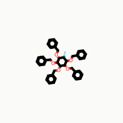 FC1C(OCc2ccccc2)C(OCc2ccccc2)C(OCc2ccccc2)C(OCc2ccccc2)C1OCc1ccccc1